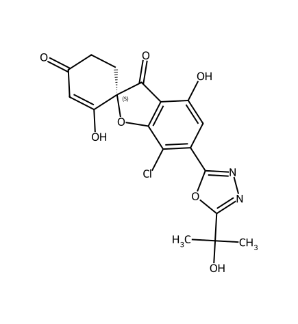 CC(C)(O)c1nnc(-c2cc(O)c3c(c2Cl)O[C@]2(CCC(=O)C=C2O)C3=O)o1